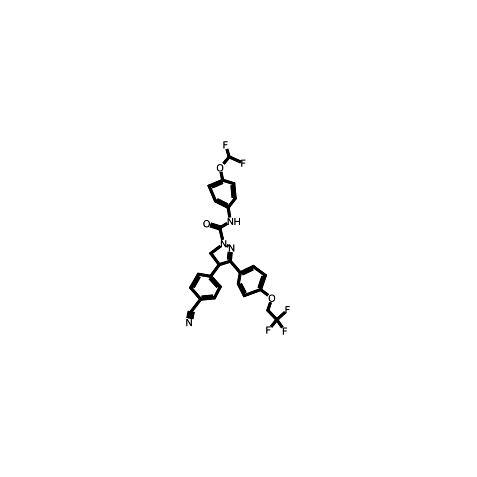 N#Cc1ccc(C2CN(C(=O)Nc3ccc(OC(F)F)cc3)N=C2c2ccc(OCC(F)(F)F)cc2)cc1